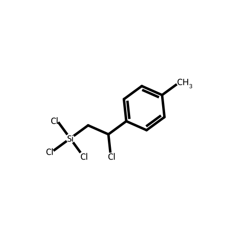 Cc1ccc(C(Cl)C[Si](Cl)(Cl)Cl)cc1